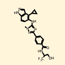 Cn1nc(-c2ccc(C(=O)NC(CO)C(F)(F)F)cc2)nc1Nc1ccc2[nH]ncc2c1C1CC1